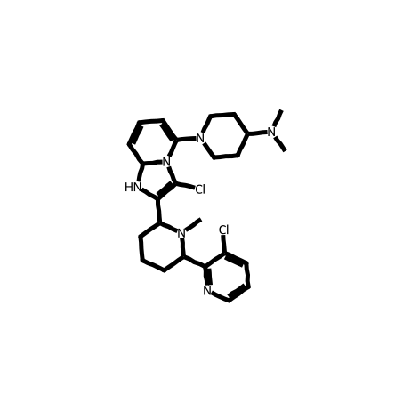 CN(C)C1CCN(C2=CC=CC3NC(C4CCCC(c5ncccc5Cl)N4C)=C(Cl)N23)CC1